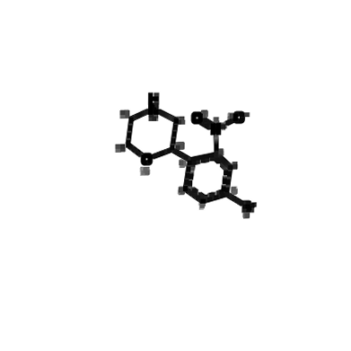 O=[N+]([O-])c1cc(Br)ccc1C1CNCCO1